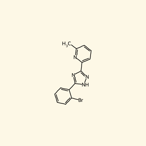 Cc1cccc(-c2n[nH]c(-c3ccccc3Br)n2)n1